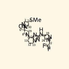 CSc1cnn(C2(CC#N)CN(c3cccn4nc(Nc5cnn(CC(F)F)c5)nc34)C2)c1